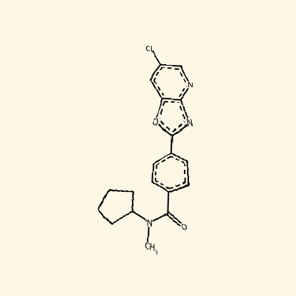 CN(C(=O)c1ccc(-c2nc3ncc(Cl)cc3o2)cc1)C1CCCC1